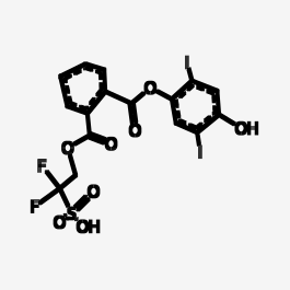 O=C(OCC(F)(F)S(=O)(=O)O)c1ccccc1C(=O)Oc1cc(I)c(O)cc1I